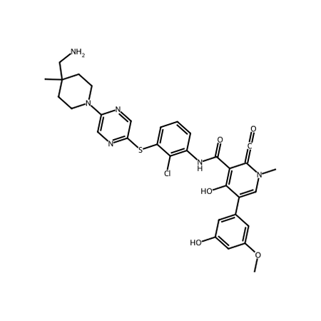 COc1cc(O)cc(C2=CN(C)C(=C=O)C(C(=O)Nc3cccc(Sc4cnc(N5CCC(C)(CN)CC5)cn4)c3Cl)=C2O)c1